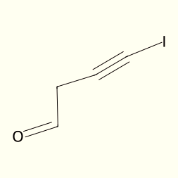 O=CCC#CI